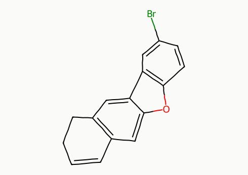 Brc1ccc2oc3cc4c(cc3c2c1)CCC=C4